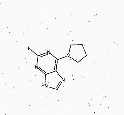 Fc1nc(N2CCCC2)c2nc[nH]c2n1